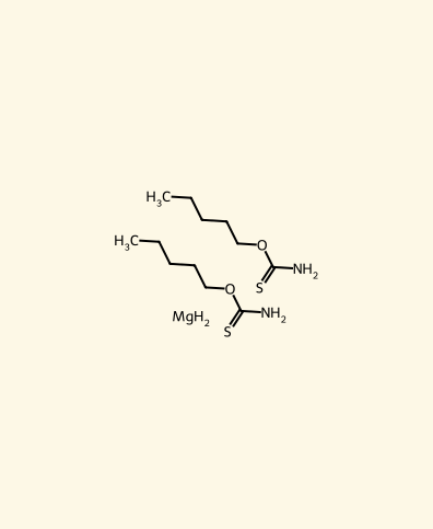 CCCCCOC(N)=S.CCCCCOC(N)=S.[MgH2]